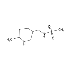 CC1CCC(CNS(C)(=O)=O)CN1